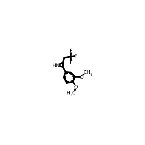 COc1ccc(C2NC2CC(F)(F)F)cc1OC